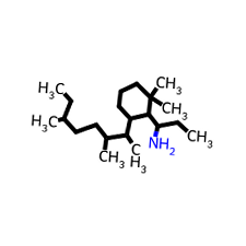 CCC(C)CCC(C)C(C)C1CCCC(C)(C)C1C(N)CC